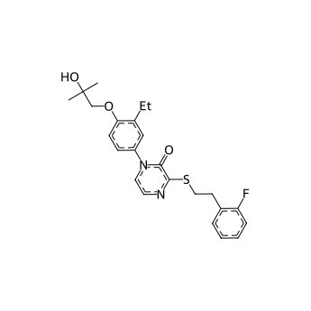 CCc1cc(-n2ccnc(SCCc3ccccc3F)c2=O)ccc1OCC(C)(C)O